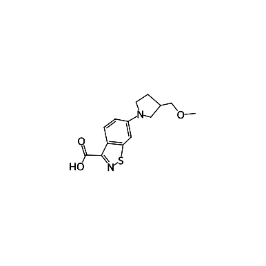 COCC1CCN(c2ccc3c(C(=O)O)nsc3c2)C1